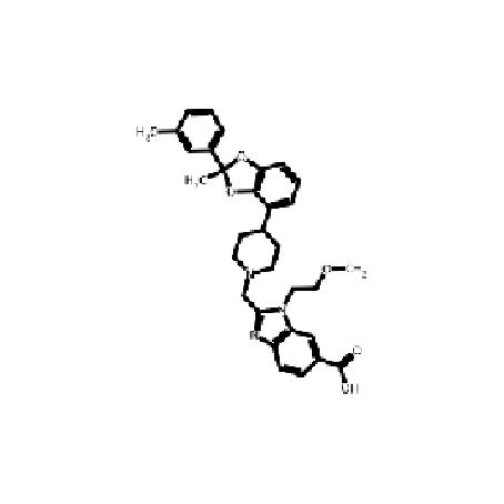 COCCn1c(CN2CCC(c3cccc4c3OC(C)(c3cccc(C)c3)O4)CC2)nc2ccc(C(=O)O)cc21